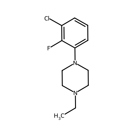 CCN1CCN(c2cccc(Cl)c2F)CC1